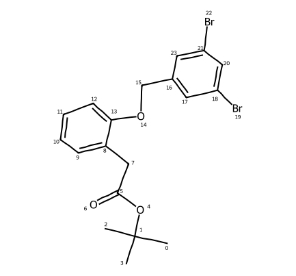 CC(C)(C)OC(=O)Cc1ccccc1OCc1cc(Br)cc(Br)c1